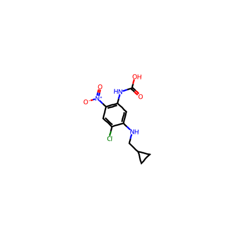 O=C(O)Nc1cc(NCC2CC2)c(Cl)cc1[N+](=O)[O-]